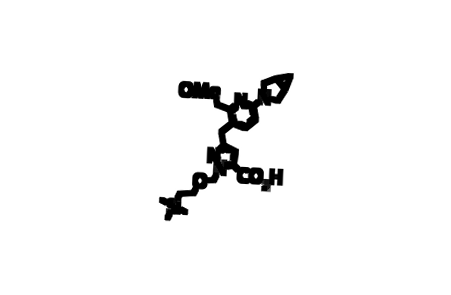 COCc1nc(N2CC3CC3C2)ccc1Cc1cc(C(=O)O)n(COCC[Si](C)(C)C)n1